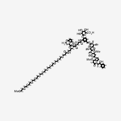 CC[C@H](C)[C@@H]([C@@H](CC(=O)N1CCC[C@H]1[C@H](OC)[C@@H](C)C(=O)N[C@H](C)[C@@H](O)c1ccccc1)OC)N(C)C(=O)[C@H](NC(=O)[C@H](C(C)C)N(C)C(=O)OCc1ccc(O[C@@H]2O[C@H](C(=O)O)[C@@H](O)[C@H](O)[C@H]2O)c(NC(=O)CCNC(=O)[C@H](CCCCNC(=O)CCOCCOCCOCCOCCOCCOCCOCCOCCOCCOCCOCCOC)NC(=O)[C@H](CN)N2C(=O)C=CC2=O)c1)C(C)C